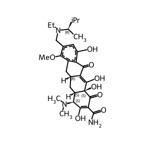 CCN(Cc1cc(O)c2c(c1OC)C[C@H]1C[C@H]3[C@H](N(C)C)C(O)=C(C(N)=O)C(=O)[C@@]3(O)C(O)=C1C2=O)[C@H](C)C(C)C